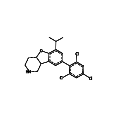 CC(C)c1cc(-c2c(Cl)cc(Cl)cc2Cl)cc2c1OC1CCNCC21